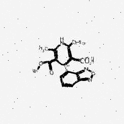 CC1=C(C(=O)O)[C@H](c2cccc3nonc23)C(C(=O)OC(C)C)=C(C)N1